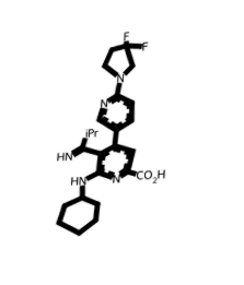 CC(C)C(=N)c1c(-c2ccc(N3CCC(F)(F)C3)nc2)cc(C(=O)O)nc1NC1CCCCC1